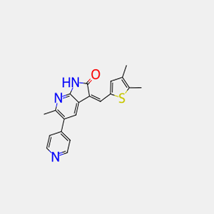 Cc1cc(C=C2C(=O)Nc3nc(C)c(-c4ccncc4)cc32)sc1C